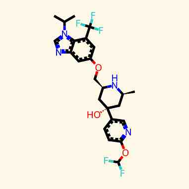 CC(C)n1cnc2cc(OC[C@@H]3C[C@](O)(c4ccc(OC(F)F)nc4)C[C@H](C)N3)cc(C(F)(F)F)c21